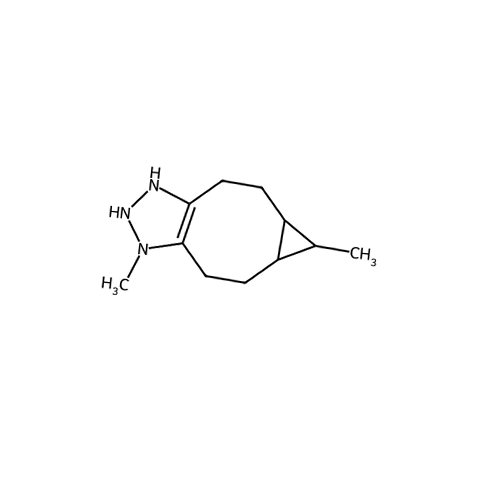 CC1C2CCC3=C(CCC12)N(C)NN3